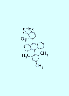 CCCCCCOc1cccc(-c2c3ccccc3c(-c3c(C)cc(C)cc3C)c3ccccc23)c1P=O